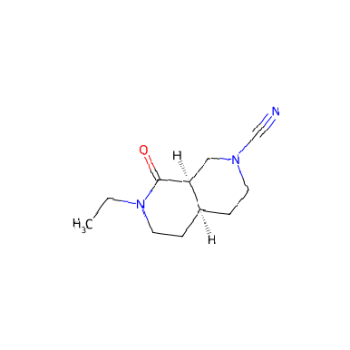 CCN1CC[C@@H]2CCN(C#N)C[C@@H]2C1=O